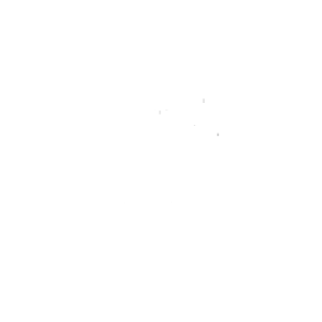 CCCC(O)(C#Cc1cccc(Br)c1)CCC